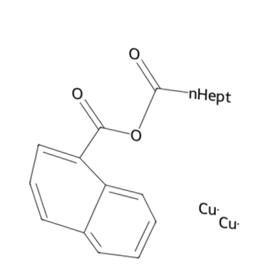 CCCCCCCC(=O)OC(=O)c1cccc2ccccc12.[Cu].[Cu]